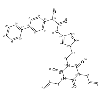 C=CCn1c(=O)n(CC=C)c(=O)n(CCn2cc(OC(=O)C(CC)c3ccc(-c4ccccc4)cc3)nn2)c1=O